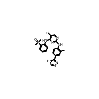 Cc1cc(-c2nnn[nH]2)ccc1Nc1ncc(Cl)c(Nc2ccccc2P(C)(C)=O)n1